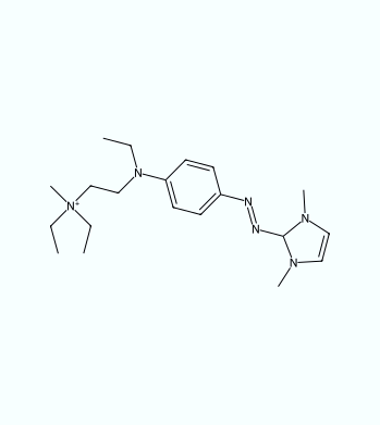 CCN(CC[N+](C)(CC)CC)c1ccc(N=NC2N(C)C=CN2C)cc1